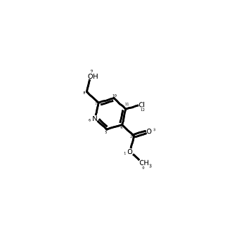 COC(=O)c1cnc(CO)cc1Cl